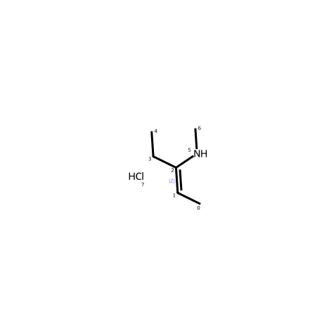 C/C=C(/CC)NC.Cl